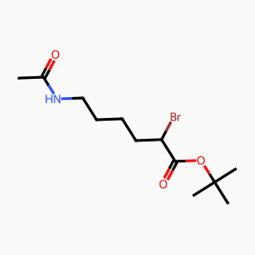 CC(=O)NCCCCC(Br)C(=O)OC(C)(C)C